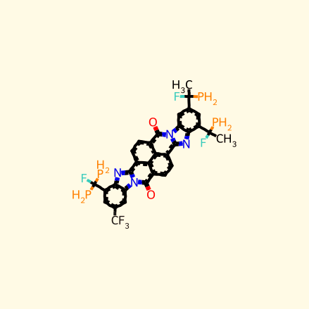 CC(F)(P)c1cc(C(C)(F)P)c2nc3c4ccc5c(=O)n6c7cc(C(F)(F)F)cc(C(F)(P)P)c7nc6c6ccc(c(=O)n3c2c1)c4c56